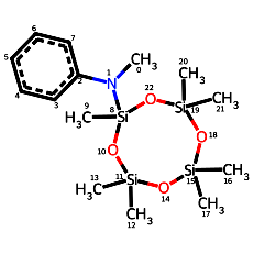 CN(c1ccccc1)[Si]1(C)O[Si](C)(C)O[Si](C)(C)O[Si](C)(C)O1